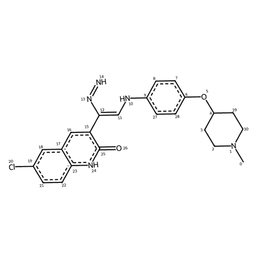 CN1CCC(Oc2ccc(N/C=C(\N=N)c3cc4cc(Cl)ccc4[nH]c3=O)cc2)CC1